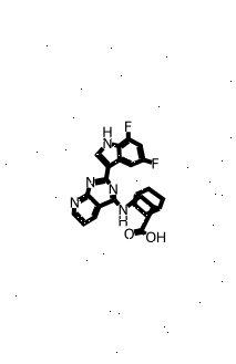 O=C(O)C1C2CCC(CC2)C1Nc1nc(-c2c[nH]c3c(F)cc(F)cc23)nc2ncccc12